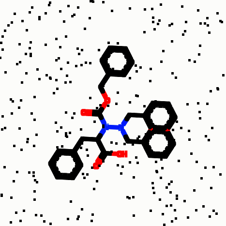 O=C(O)C(Cc1ccccc1)N(C(=O)OCc1ccccc1)N(Cc1ccccc1)Cc1ccccc1